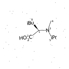 CCC(C)[C@H](C(=O)O)N(C)C(C)C